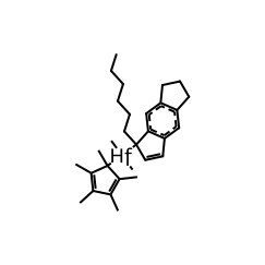 CCCCCC[C]1([Hf]([CH3])([CH3])[C]2(C)C(C)=C(C)C(C)=C2C)C=Cc2cc3c(cc21)CCC3